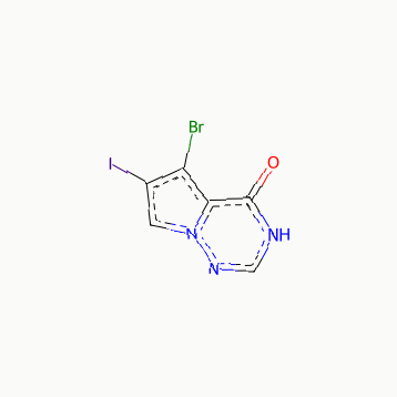 O=c1[nH]cnn2cc(I)c(Br)c12